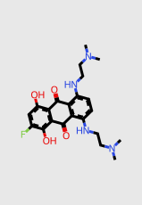 CN(C)CCNc1ccc(NCCN(C)C)c2c1C(=O)c1c(O)cc(F)c(O)c1C2=O